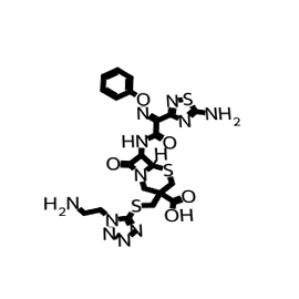 NCCn1nnnc1SCC1(C(=O)O)CS[C@@H]2C(NC(=O)C(=NOc3ccccc3)c3nsc(N)n3)C(=O)N2C1